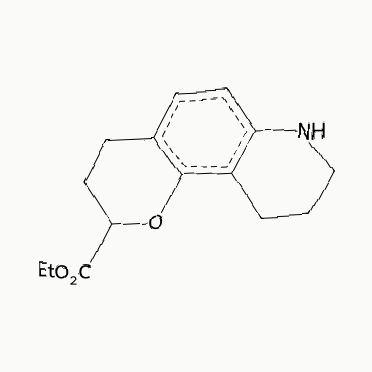 CCOC(=O)C1CCc2ccc3c(c2O1)CCCN3